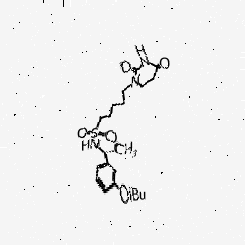 CC(C)COc1cccc([C@@H](C)NS(=O)(=O)CCCCCN2CCC(=O)NC2=O)c1